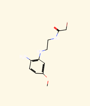 COc1ccc(N)c(NCCNC(=O)CBr)c1